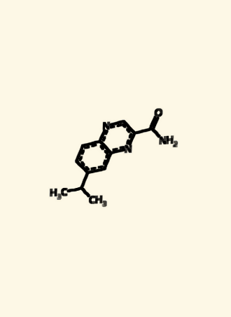 CC(C)c1ccc2ncc(C(N)=O)nc2c1